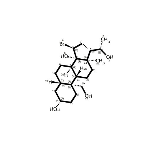 C[C@H](O)[C@H]1C[C@H](Br)[C@]2(O)[C@@H]3CC[C@H]4C[C@@H](O)CC[C@]4(CO)[C@H]3CC[C@]12C